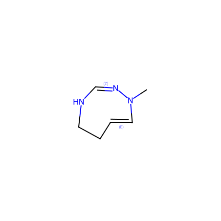 CN1/C=C/CCN/C=N\1